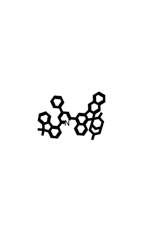 CC1CC2CC(C)C3(c4cc5ccccc5cc4-c4cc(-c5cc(-c6ccccc6)cc(-c6cccc7c6-c6ccccc6C7(C)C)n5)c5ccccc5c43)C(C1)C2